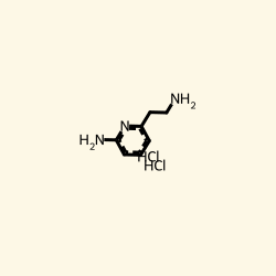 Cl.Cl.NCCc1cccc(N)n1